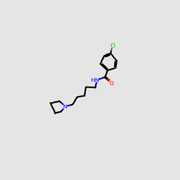 O=C(NCCCCCN1C[CH]CC1)c1ccc(Cl)cc1